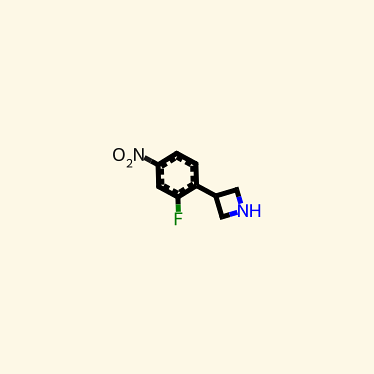 O=[N+]([O-])c1ccc(C2CNC2)c(F)c1